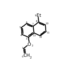 C=COc1cccc2c(CC)cccc12